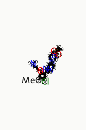 COc1cc(OCCCN(C)C)c(-c2cn3ccc(N4CCCN(S(=O)(=O)C5CC5)CC4)cc3n2)cc1Cl